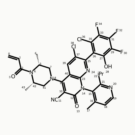 C=CC(=O)N1[C@H](C)CN(c2c(C#N)c(=O)n(-c3c(C)ccnc3C(C)C)c3nc(-c4c(O)c(F)c(F)c(F)c4Cl)c(Cl)cc23)C[C@@H]1C